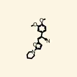 COc1ccc(C(C#N)=Cc2ccc(N3CCCCC3)o2)cc1OC